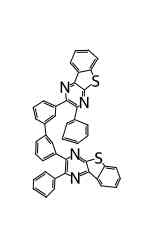 c1ccc(-c2nc3sc4ccccc4c3nc2-c2cccc(-c3cccc(-c4nc5sc6ccccc6c5nc4-c4ccccc4)c3)c2)cc1